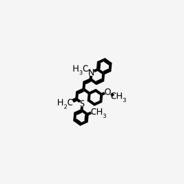 C=C(/C=C(/C=C1\C=Cc2ccccc2N1C)C1CCCC(OC)C1)Sc1ccccc1C